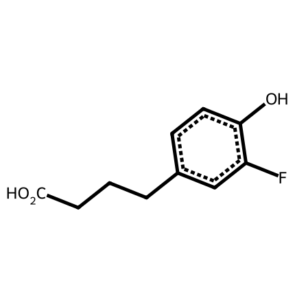 O=C(O)CCCc1ccc(O)c(F)c1